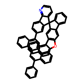 c1ccc(-c2cc3c4ccccc4c(-c4ccc5c(c4)C4(c6ccccc6-c6cc7oc8ccc9ccccc9c8c7cc64)c4cccnc4-5)cc3c3ccccc23)cc1